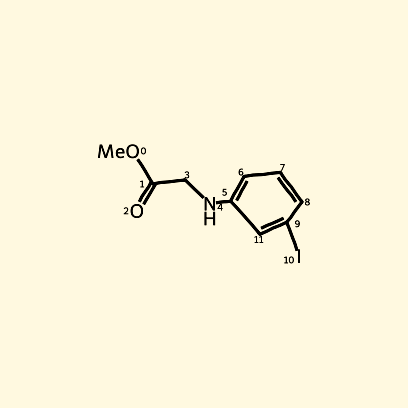 COC(=O)CNc1cccc(I)c1